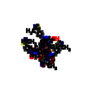 Cc1cc(C(C)(C)C(=O)N2C[C@H](OCc3cc([C@H](C)C(=O)N4C[C@H](OCc5cc([C@@H](C)C(=O)N6C[C@H](O)C[C@H]6C(=O)NCc6ccc(-c7scnc7C)cc6)on5)C[C@H]4C(=O)NCc4ccc(-c5scnc5C)cc4)on3)C[C@H]2C(=O)NCc2ccc(-c3scnc3C)cc2)on1